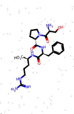 N=C(N)NCCC[C@H](NC(=O)[C@H](Cc1ccccc1)NC(=O)[C@@H]1CCCN1C(=O)[C@@H](N)CO)C(=O)O